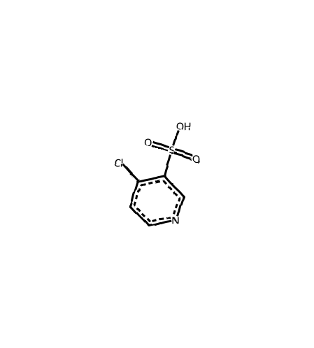 O=S(=O)(O)c1cnccc1Cl